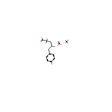 CC(C)(C)OC(=O)NC(Cc1ccc(N)cc1)CC(C)(C)C(=O)O